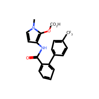 Cn1ccc(NC(=O)c2ccccc2-c2ccc(C(F)(F)F)cc2)c1OC(=O)O